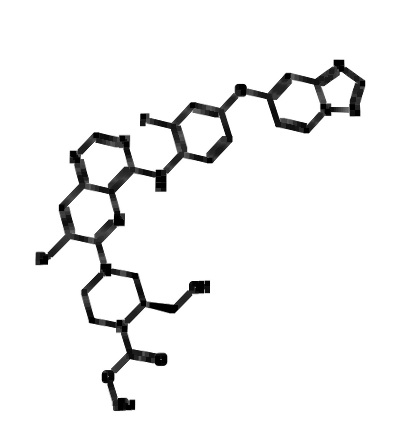 CC(C)(C)OC(=O)N1CCN(c2nc3c(Nc4ccc(Oc5ccn6ncnc6c5)cc4F)ncnc3cc2Br)C[C@H]1CO